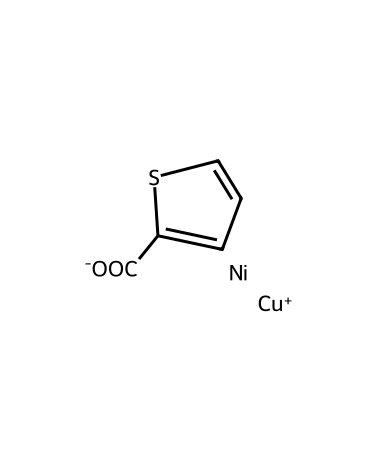 O=C([O-])c1cccs1.[Cu+].[Ni]